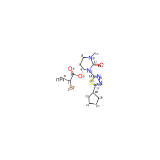 CCCC(Br)C(=O)O[C@@H]1CCN(C)C(=O)N1c1nnc(C2CCCC2)s1